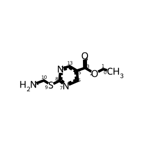 CCOC(=O)c1cnc(SCN)nc1